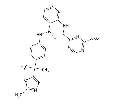 CNc1nccc(CNc2ncccc2C(=O)Nc2ccc(C(C)(C)c3nnc(C)o3)cc2)n1